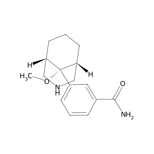 CO[C@@]1(c2cccc(C(N)=O)c2)[C@@H]2CCC[C@H]1CNC2